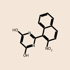 O=[N+]([O-])c1ccc2ccccc2c1-c1nc(O)cc(O)n1